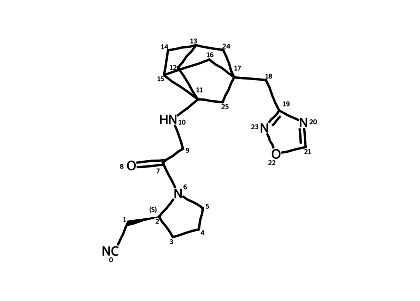 N#CC[C@@H]1CCCN1C(=O)CNC12CC3CC1CC(Cc1ncon1)(C3)C2